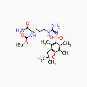 Cc1c(C)c(S(=O)(=O)/N=C(/N)NCCC[C@H](NC(=O)OC(C)(C)C)C(N)=O)c(C)c2c1OC(C)(C)C2